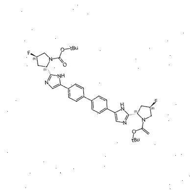 C=C(OC(C)(C)C)N1C[C@H](F)C[C@H]1c1ncc(-c2ccc(-c3ccc(-c4cnc([C@@H]5C[C@@H](F)CN5C(=O)OC(C)(C)C)[nH]4)cc3)cc2)[nH]1